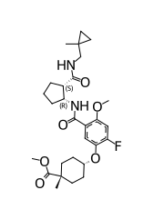 COc1cc(F)c(O[C@H]2CC[C@@](C)(C(=O)OC)CC2)cc1C(=O)N[C@@H]1CCC[C@@H]1C(=O)NCC1(C)CC1